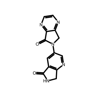 O=C1NCc2ncc(N3Cc4nccnc4C3=O)cc21